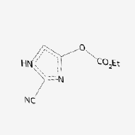 CCOC(=O)Oc1c[nH]c(C#N)n1